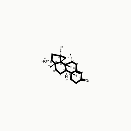 C[C@@H]1CC2=CC(=O)CC[C@@H]2[C@H]2CC[C@]3(C)[C@H](O)C[C@H]4C[C@]43[C@@H]21